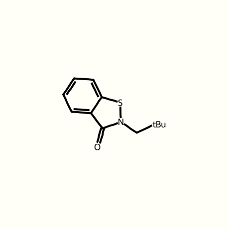 CC(C)(C)Cn1sc2ccccc2c1=O